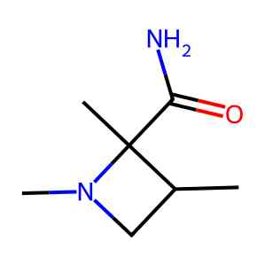 CC1CN(C)C1(C)C(N)=O